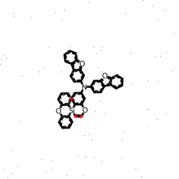 c1ccc2c(c1)Oc1ccccc1[Si]21c2ccccc2Oc2cc(N(c3ccc4c(c3)oc3ccccc34)c3ccc4c(c3)oc3ccccc34)ccc21